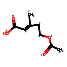 CC(=O)OCCC(C)=CC(=O)O